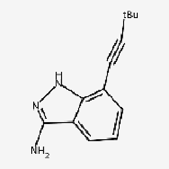 CC(C)(C)C#Cc1cccc2c(N)n[nH]c12